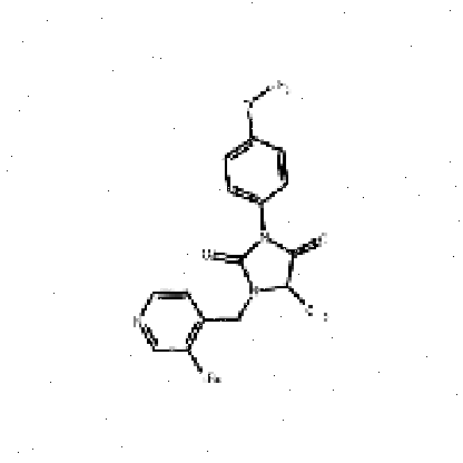 CC1C(=O)N(c2ccc(OC(F)(F)F)cc2)C(=O)N1Cc1ccncc1C(C)(C)C